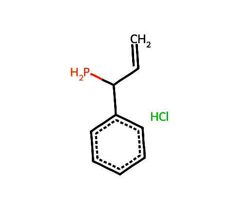 C=CC(P)c1ccccc1.Cl